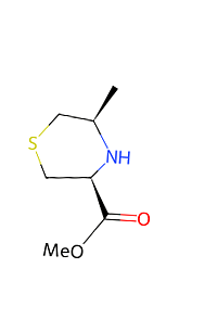 COC(=O)[C@H]1CSC[C@@H](C)N1